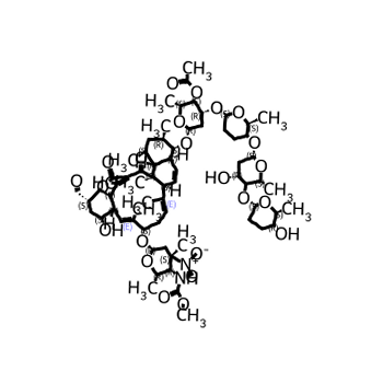 COC(=O)N[C@H]1[C@@H](C)O[C@@H](O[C@H]2C/C=C(\C)[C@@H]3C=C[C@@H]4[C@@H](O[C@H]5C[C@@H](O[C@H]6CCC(O[C@H]7C[C@@H](O)C(O[C@H]8CC[C@@H](O)[C@H](C)O8)[C@H](C)O7)[C@H](C)O6)[C@@H](OC(C)=O)[C@H](C)O5)[C@H](C)C[C@H](C)[C@H]4[C@]3(C)C(=O)C3=C(O)[C@@]4(C[C@@H](C=O)C[C@H](O)[C@H]4/C=C/2C)OC3=O)C[C@]1(C)[N+](=O)[O-]